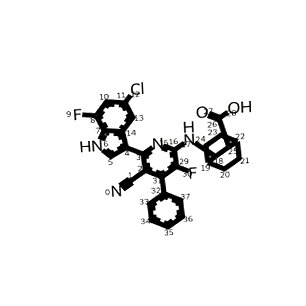 N#Cc1c(-c2c[nH]c3c(F)cc(Cl)cc23)nc(NC2C3CCC(CC3)C2C(=O)O)c(F)c1-c1ccccc1